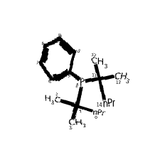 CCCC(C)(C)P(c1ccccc1)C(C)(C)CCC